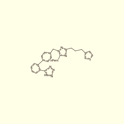 CCCCCc1nc(CCCc2ccsc2)nn1Cc1ccc(-c2ccccc2-c2nnn[nH]2)cc1